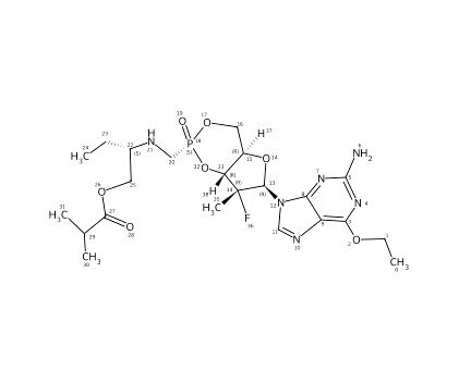 CCOc1nc(N)nc2c1ncn2[C@@H]1O[C@@H]2CO[P@@](=O)(CN[C@@H](CC)COC(=O)C(C)C)O[C@H]2[C@@]1(C)F